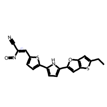 CCc1cc2oc(-c3ccc(-c4ccc(/C=C(/C#N)N=O)s4)[nH]3)cc2s1